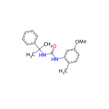 COc1ccc(C)c(NC(=O)NC(C)(C)c2ccccc2)c1